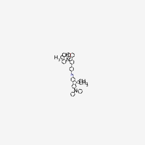 CCC1(CC)c2cc(/C=C/c3ccc(-c4ccc(-c5ccccc5)c(N5c6ccccc6C(C)(C)c6ccccc65)c4)cc3)ccc2-c2ccc(N(c3ccccc3)c3ccccc3)cc21